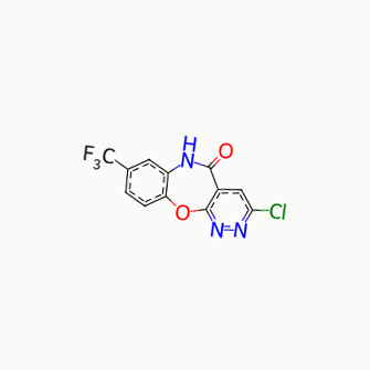 O=C1Nc2cc(C(F)(F)F)ccc2Oc2nnc(Cl)cc21